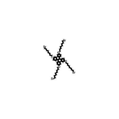 BrCCCCCCCCOc1ccc(C(=C(c2ccc(OCCCCCCCCBr)cc2)c2ccc(OCCCCCCCCBr)cc2)c2ccc(OCCCCCCCCBr)cc2)cc1